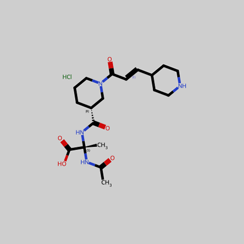 CC(=O)N[C@@](C)(NC(=O)[C@@H]1CCCN(C(=O)/C=C/C2CCNCC2)C1)C(=O)O.Cl